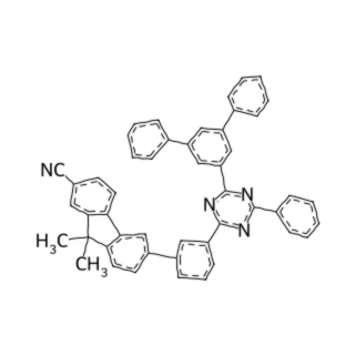 CC1(C)c2ccc(-c3cccc(-c4nc(-c5ccccc5)nc(-c5cc(-c6ccccc6)cc(-c6ccccc6)c5)n4)c3)cc2-c2ccc(C#N)cc21